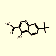 CC(C)(C)c1ccc2c(O)c(C(=O)O)cnc2c1